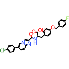 O=C(NC(Cc1ccc(OCc2ccc(F)cc2)cc1)C(=O)O)c1cn2cc(-c3ccc(Cl)cc3)ccc2n1